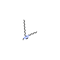 CCCCCCCCCCCc1n(CC)cc[n+]1CCCCCCC